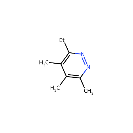 CCc1nnc(C)c(C)c1C